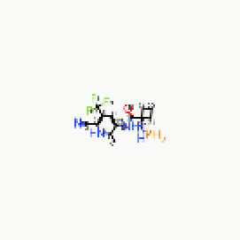 CC1NC(C#N)=C(C(F)(F)F)C=C1NC(=O)C1(NP)CCC1